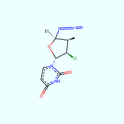 CC[C@@]1(N=[N+]=[N-])O[C@@H](n2ccc(=O)[nH]c2=O)[C@H](Cl)[C@@H]1C